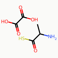 CC(N)C(=O)S.O=C(O)C(=O)O